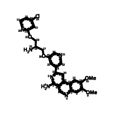 COc1cc2ncc3c(N)nc(-c4cncc(OC[C@@H](N)COc5cc(Cl)ccn5)c4)cc3c2cc1OC